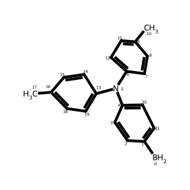 Bc1ccc(N(c2ccc(C)cc2)c2ccc(C)cc2)cc1